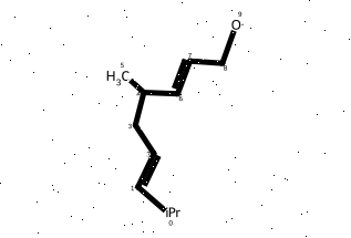 CC(C)/C=C/CC(C)/C=C/C[O]